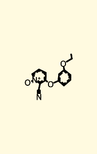 CCOc1cccc(Oc2ccc[n+]([O-])c2C#N)c1